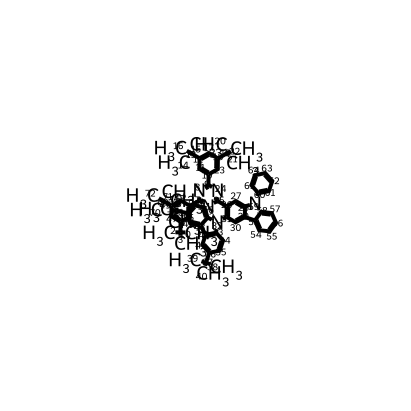 CC(C)(C)c1cc(-c2nc(-c3cc(C(C)(C)C)cc(C(C)(C)C)c3)nc(-c3cc4c(cc3-n3c5ccc(C(C)(C)C)cc5c5cc(C(C)(C)C)ccc53)c3ccccc3n4-c3ccccc3)n2)cc(C(C)(C)C)c1